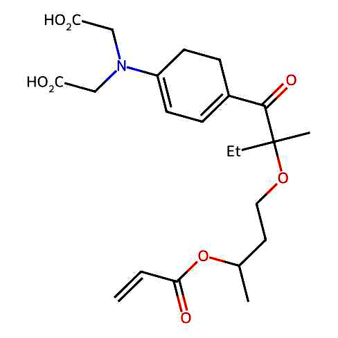 C=CC(=O)OC(C)CCOC(C)(CC)C(=O)C1=CC=C(N(CC(=O)O)CC(=O)O)CC1